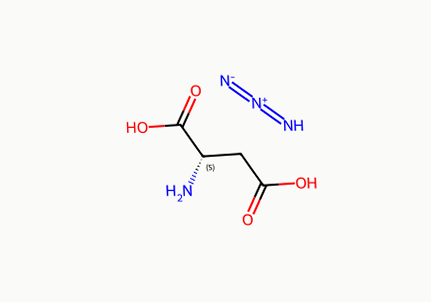 N[C@@H](CC(=O)O)C(=O)O.[N-]=[N+]=N